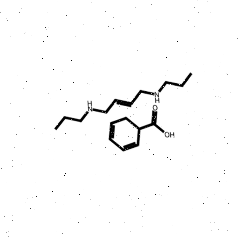 CCCNCC=CCNCCC.O=C(O)C1C=CC=CC1